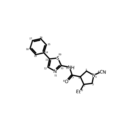 CCC1CN(C#N)CC1C(=O)Nc1ncc(-c2ccccc2)s1